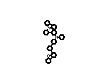 c1ccc(N(c2ccc(-c3cccc(-c4cccc5c4oc4ccccc45)c3)cc2)c2cccc(-c3ccccc3-n3c4ccccc4c4ccccc43)c2)cc1